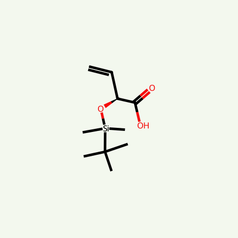 C=C[C@H](O[Si](C)(C)C(C)(C)C)C(=O)O